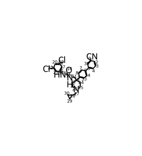 N#Cc1cccc(-c2ccc(C3(CNC(=O)Nc4cc(Cl)cc(Cl)c4)CCN(CC4CC4)CC3)cc2)c1